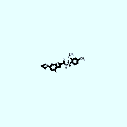 COc1cc(C)ccc1S(=O)(=O)NC(=O)c1cc2c(F)cc(N3CCC3)cc2o1